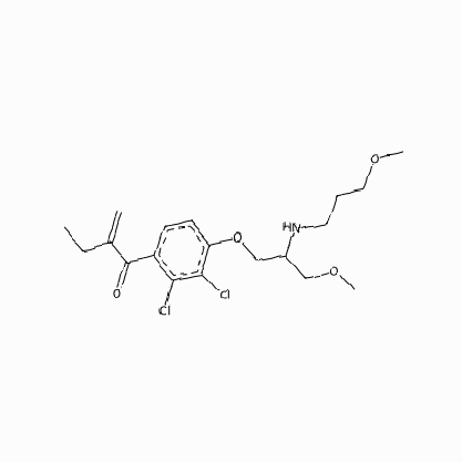 C=C(CC)C(=O)c1ccc(OCC(COC)NCCCOC)c(Cl)c1Cl